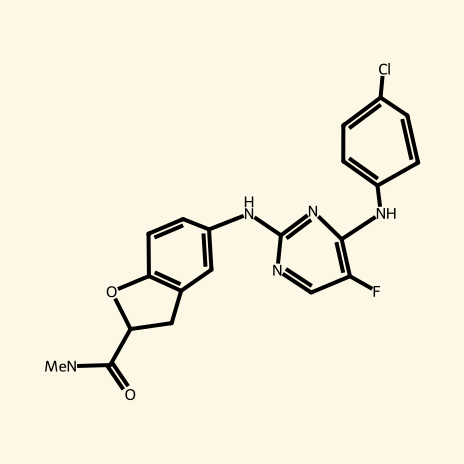 CNC(=O)C1Cc2cc(Nc3ncc(F)c(Nc4ccc(Cl)cc4)n3)ccc2O1